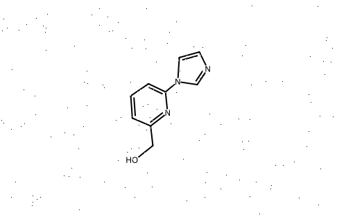 OCc1cccc(-n2ccnc2)n1